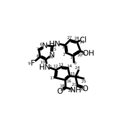 Cc1cc(Nc2ncc(F)c(Nc3ccc4c(c3)C(=O)NC(=O)C4(C)C)n2)cc(Cl)c1O